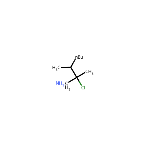 CCCCC(C)C(C)(C)Cl.N